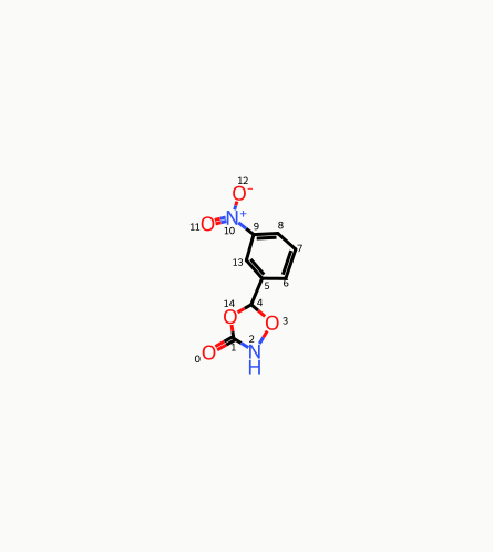 O=C1NOC(c2cccc([N+](=O)[O-])c2)O1